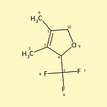 CC1=C(C)C(C(F)(F)F)OC1